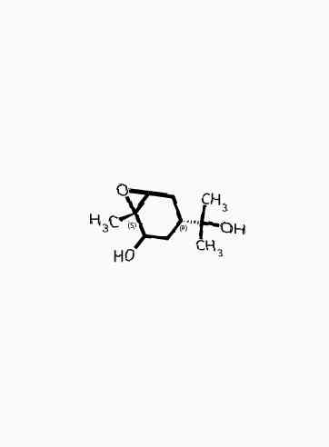 CC(C)(O)[C@@H]1CC(O)[C@]2(C)OC2C1